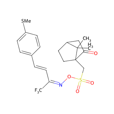 CSc1ccc(C=CC(=NOS(=O)(=O)CC23CCC(CC2=O)C3(C)C)C(F)(F)F)cc1